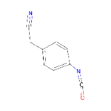 N#CCc1ccc(N=C=O)cc1